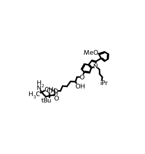 COc1ccccc1-c1cc2ccc(OCC(O)CCCCOC(=O)C(C)(CC(C)(C)N)C(C)(C)C)cc2n1CCCC(C)C